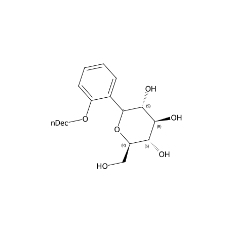 CCCCCCCCCCOc1ccccc1[C]1O[C@H](CO)[C@@H](O)[C@H](O)[C@H]1O